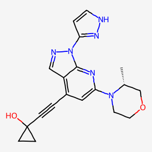 C[C@@H]1COCCN1c1cc(C#CC2(O)CC2)c2cnn(-c3cc[nH]n3)c2n1